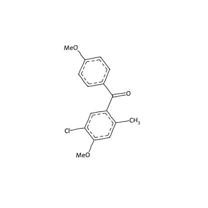 COc1ccc(C(=O)c2cc(Cl)c(OC)cc2C)cc1